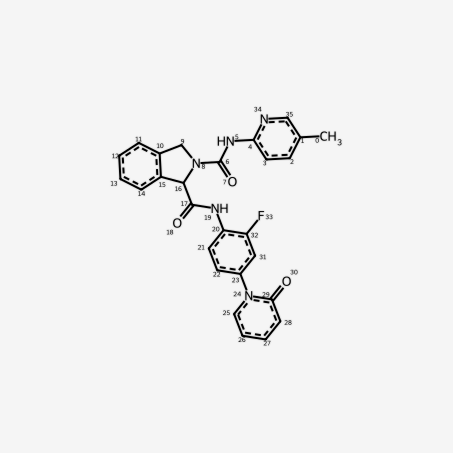 Cc1ccc(NC(=O)N2Cc3ccccc3C2C(=O)Nc2ccc(-n3ccccc3=O)cc2F)nc1